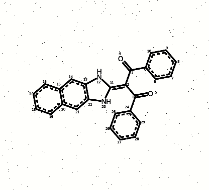 O=C(C(C(=O)c1ccccc1)=C1Nc2cc3ccccc3cc2N1)c1ccccc1